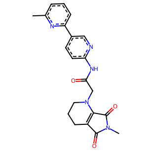 Cc1cccc(-c2ccc(NC(=O)CN3CCCC4=C3C(=O)N(C)C4=O)nc2)n1